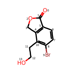 O=C1OCc2c1ccc(Br)c2CCO